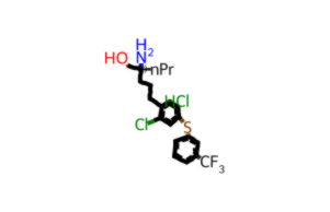 CCC[C@](N)(CO)CCCc1ccc(Sc2cccc(C(F)(F)F)c2)cc1Cl.Cl